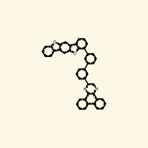 c1cc(-c2cccc(-c3cccc4c3oc3cc5c(cc34)oc3ccccc35)c2)cc(-c2cnc3c4ccccc4c4ccccc4c3n2)c1